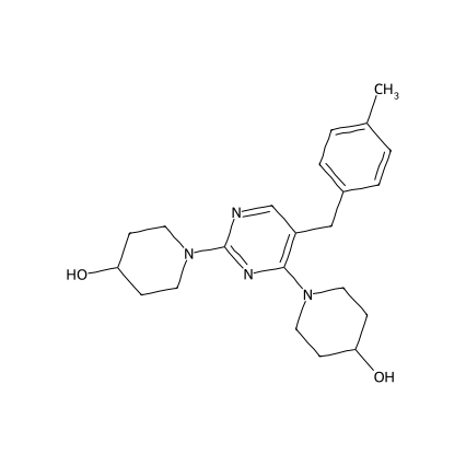 Cc1ccc(Cc2cnc(N3CCC(O)CC3)nc2N2CCC(O)CC2)cc1